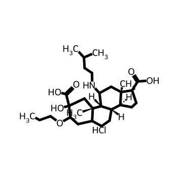 CCCOC1CC2CC[C@@H]3[C@@H](C(NCCC(C)C)C[C@]4(C)C(C(=O)O)CC[C@@H]34)[C@@]2(C)CC1(O)C(=O)O.Cl